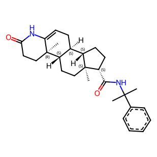 CC(C)(NC(=O)[C@H]1CC[C@H]2[C@@H]3CC=C4NC(=O)CC[C@]4(C)[C@H]3CC[C@]12C)c1ccccc1